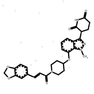 Cn1nc(C2CCC(=O)NC2=O)c2cccc(OC3CCN(C(=O)C=Cc4ccc5c(c4)OCO5)CC3)c21